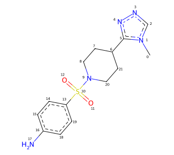 Cn1cnnc1C1CCN(S(=O)(=O)c2ccc(N)cc2)CC1